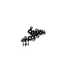 CONC(=O)Nc1ccc(-c2sc3c(c2CO)c(=O)n(-c2ccc(OC)nn2)c(=O)n3Cc2c(F)cccc2F)cc1